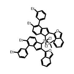 CCc1cccc(-c2c(CC)ccc3c2C=C(c2occ4ccccc24)[CH]3[Zr]([Cl])([Cl])([CH]2C(c3occ4ccccc34)=Cc3c2ccc(CC)c3-c2cccc(CC)c2)=[Si](C)C)c1